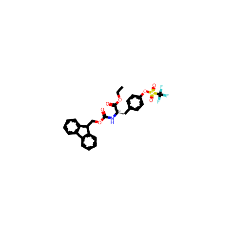 CCOC(=O)[C@H](Cc1ccc(OS(=O)(=O)C(F)(F)F)cc1)NC(=O)OCC1c2ccccc2-c2ccccc21